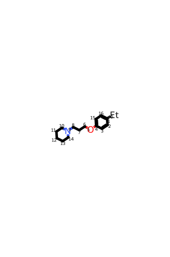 CCc1ccc(OCCCN2CCCCC2)cc1